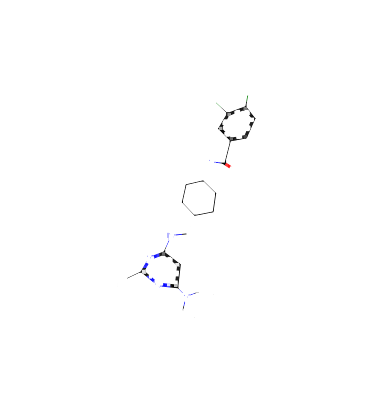 Cc1nc(NC[C@H]2CC[C@@H](NC(=O)c3ccc(F)c(F)c3)CC2)cc(N(C)C)n1.Cl